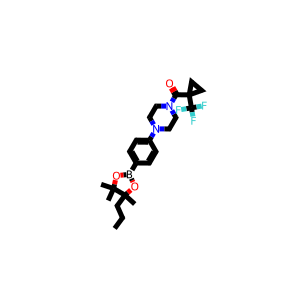 CCCC1(C)OB(c2ccc(N3CCN(C(=O)C4(C(F)(F)F)CC4)CC3)cc2)OC1(C)C